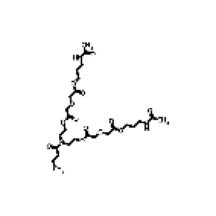 CCCC(=O)N(CCOC(=O)COCC(=O)OCCCNC(C)=O)CCOC(=O)COCC(=O)OCCCNC(C)=O